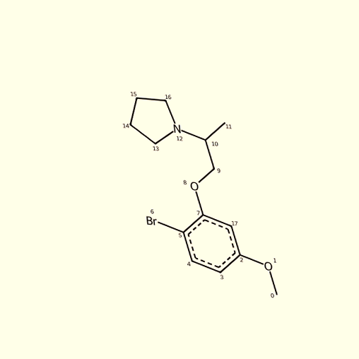 COc1ccc(Br)c(OCC(C)N2CCCC2)c1